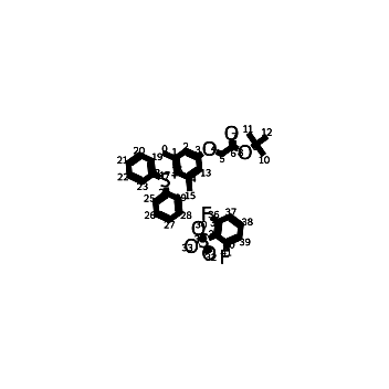 Cc1cc(OCC(=O)OC(C)(C)C)cc(C)c1[S+](c1ccccc1)c1ccccc1.O=S(=O)([O-])c1c(F)cccc1F